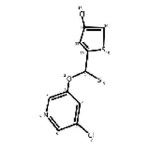 [S]C(Oc1cncc(Cl)c1)c1cc(Cl)cs1